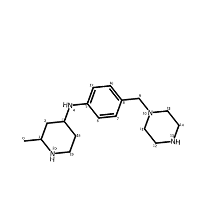 CC1CC(Nc2ccc(CN3CCNCC3)cc2)CCN1